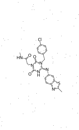 CNC(=O)Cn1c(=O)[nH]/c(=N\c2ccc3nc(C)sc3c2)n(Cc2ccc(Cl)cc2)c1=O